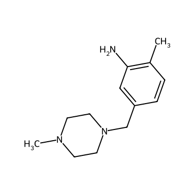 Cc1ccc(CN2CCN(C)CC2)cc1N